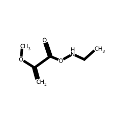 C=C(OC)C(=O)ONCC